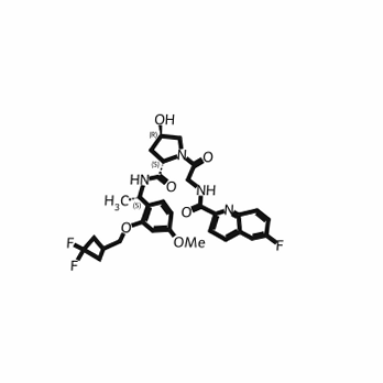 COc1ccc([C@H](C)NC(=O)[C@@H]2C[C@@H](O)CN2C(=O)CNC(=O)c2ccc3cc(F)ccc3n2)c(OCC2CC(F)(F)C2)c1